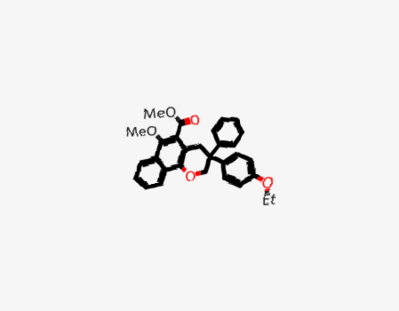 CCOc1ccc(C2(c3ccccc3)COc3c(c(C(=O)OC)c(OC)c4ccccc34)C2)cc1